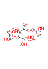 O[C@@H]1[C@H](O)[C@H](OP(O)(O)=S)[C@@H](O)[C@H](O)[C@H]1OP(O)(O)=S